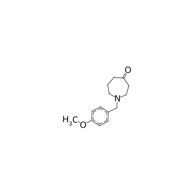 COc1ccc(CN2CCCC(=O)CC2)cc1